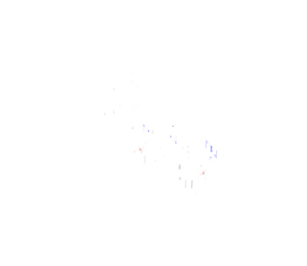 C=C(C)c1c(N2CCN(Cc3ccccc3C)C(=O)C2)cn[nH]c1=O